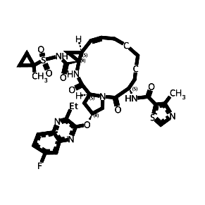 CCc1nc2ccc(F)cc2nc1O[C@@H]1C[C@H]2C(=O)N[C@]3(C(=O)NS(=O)(=O)C4(C)CC4)C[C@H]3C=CCCCCC[C@H](NC(=O)c3scnc3C)C(=O)N2C1